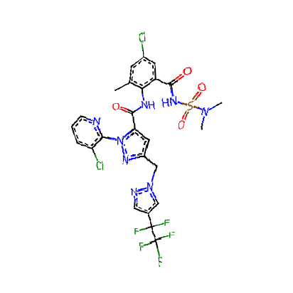 Cc1cc(Cl)cc(C(=O)NS(=O)(=O)N(C)C)c1NC(=O)c1cc(Cn2cc(C(F)(F)C(F)(F)F)cn2)nn1-c1ncccc1Cl